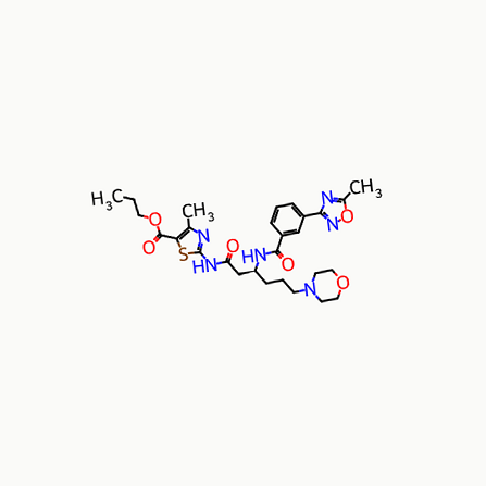 CCCOC(=O)c1sc(NC(=O)C[C@H](CCCN2CCOCC2)NC(=O)c2cccc(-c3noc(C)n3)c2)nc1C